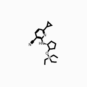 CC[Si](CC)(CC)OC1CCC[C@@H]1Nc1nc(C2CC2)ccc1C#N